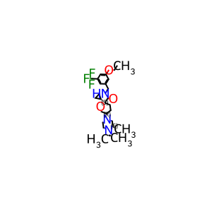 CCOc1cc(CNC(=O)[C@@]2(C3CC3)CC[C@@H](N3CCN(C(C)C)[C@@H](C)C3)CO2)cc(C(F)(F)F)c1